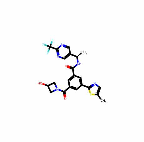 Cc1cnc(-c2cc(C(=O)N[C@H](C)c3cnc(C(F)(F)F)nc3)cc(C(=O)N3CC(O)C3)c2)s1